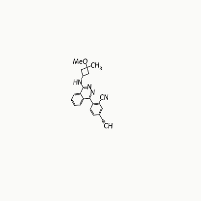 C#Cc1ccc(-c2nnc(NC3CC(C)(OC)C3)c3ccccc23)c(C#N)c1